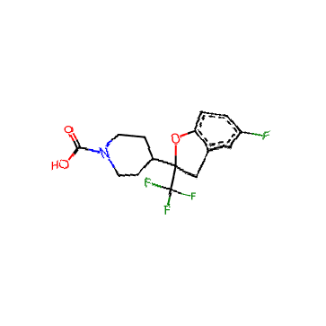 O=C(O)N1CCC(C2(C(F)(F)F)Cc3cc(F)ccc3O2)CC1